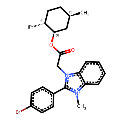 CC(C)[C@@H]1CC[C@@H](C)C[C@H]1OC(=O)Cn1c(-c2ccc(Br)cc2)[n+](C)c2ccccc21